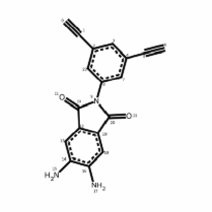 C#Cc1cc(C#C)cc(N2C(=O)c3cc(N)c(N)cc3C2=O)c1